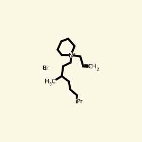 C=CC[N+]1(CCC(C)CCCC(C)C)CCCCC1.[Br-]